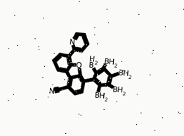 Bc1c(B)c(B)c(-c2ccc(C#N)c3c2oc2c(-c4ccccn4)cccc23)c(B)c1B